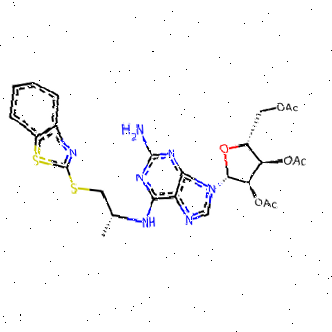 CC(=O)OC[C@H]1O[C@@H](n2cnc3c(N[C@H](C)CSc4nc5ccccc5s4)nc(N)nc32)[C@H](OC(C)=O)[C@@H]1OC(C)=O